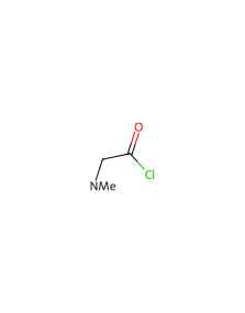 CNCC(=O)Cl